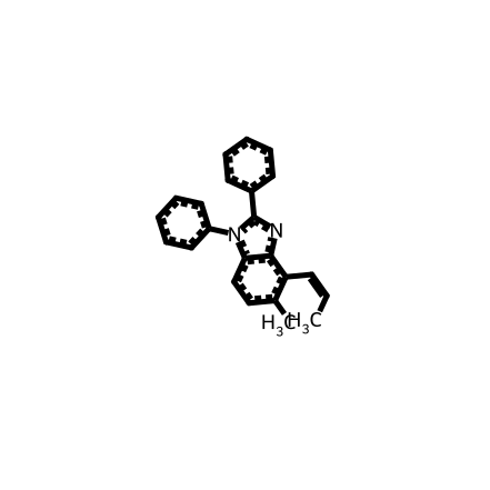 C/C=C\c1c(C)ccc2c1nc(-c1ccccc1)n2-c1ccccc1